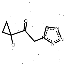 O=C(Cn1cnnn1)C1(Cl)CC1